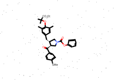 CCOC(=O)C(C)(C)Oc1c(C)cc(C[C@@H]2CN(C(=O)Oc3ccccc3)C[C@H]2C(=O)c2ccc(SC)cc2)cc1C